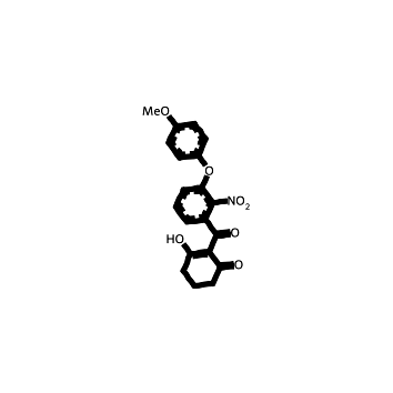 COc1ccc(Oc2cccc(C(=O)C3=C(O)CCCC3=O)c2[N+](=O)[O-])cc1